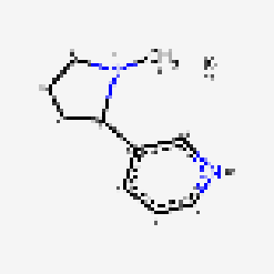 CN1CCCC1c1cccnc1.[K]